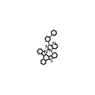 c1ccc(-c2cccc(-c3nc(-n4c5ccccc5c5c6ccccc6c6sc7ccccc7c6c54)nc4cccnc34)c2)cc1